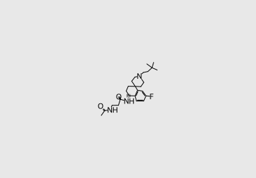 CC(=O)NCCC(=O)N[C@@H]1CCC2(CCN(CCC(C)(C)C)CC2)c2cc(F)ccc21